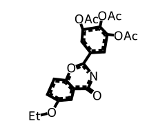 CCOc1ccc2oc(-c3cc(OC(C)=O)c(OC(C)=O)c(OC(C)=O)c3)nc(=O)c2c1